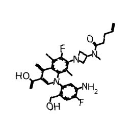 C=CCCC(=O)N(C)C1CN(c2c(C)c3c(c(C)c2F)C(=C)C(C(=C)O)=CN3c2cc(N)c(F)cc2CO)C1